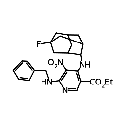 CCOC(=O)c1cnc(NCc2ccccc2)c([N+](=O)[O-])c1NC1C2CC3CC1CC(F)(C3)C2